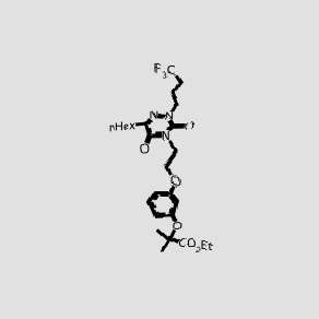 CCCCCCc1nn(CCCC(F)(F)F)c(=O)n(CCOc2cccc(OC(C)(C)C(=O)OCC)c2)c1=O